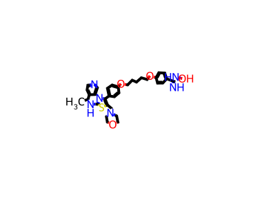 CC(Nc1nc(-c2ccc(OCCCCCOc3ccc(C(=N)NO)cc3)cc2)c(CN2CCOCC2)s1)c1ccncc1